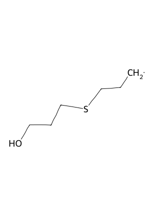 [CH2]CCSCCCO